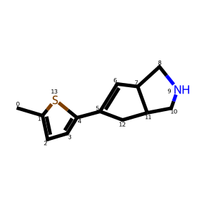 Cc1ccc(C2=CC3CNCC3C2)s1